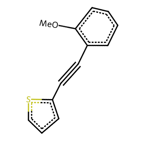 COc1ccccc1C#Cc1cccs1